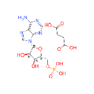 Nc1ncnc2c1ncn2[C@@H]1O[C@H](COP(=O)(O)O)[C@@H](O)[C@H]1O.O=C(O)CCC(=O)O